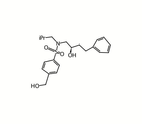 CC(C)CN(C[C@H](O)[CH]Cc1ccccc1)S(=O)(=O)c1ccc(CO)cc1